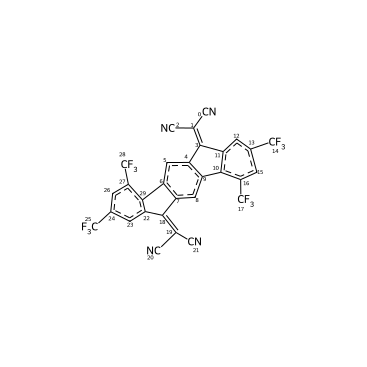 N#CC(C#N)=C1c2cc3c(cc2-c2c1cc(C(F)(F)F)cc2C(F)(F)F)C(=C(C#N)C#N)c1cc(C(F)(F)F)cc(C(F)(F)F)c1-3